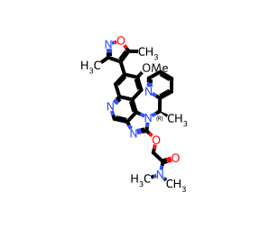 COc1cc2c(cc1-c1c(C)noc1C)ncc1nc(OCC(=O)N(C)C)n([C@H](C)c3ccccn3)c12